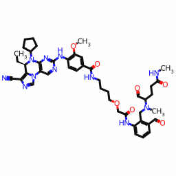 CC[C@@H]1c2c(C#N)ncn2-c2cnc(Nc3ccc(C(=O)NCCCCOCC(=O)Nc4cccc(C=O)c4CN(C)C(C=O)CCC(=O)NC)cc3OC)nc2N1C1CCCC1